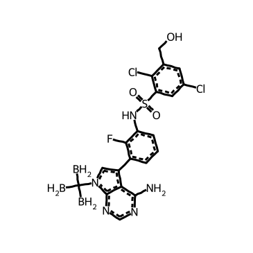 BC(B)(B)n1cc(-c2cccc(NS(=O)(=O)c3cc(Cl)cc(CO)c3Cl)c2F)c2c(N)ncnc21